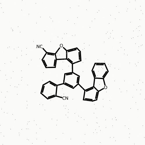 N#Cc1ccccc1-c1cc(-c2cccc3oc4ccccc4c23)cc(-c2cccc3oc4c(C#N)cccc4c23)c1